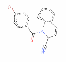 N#CC1C=Cc2ccccc2N1C(=O)c1ccc(Br)cc1